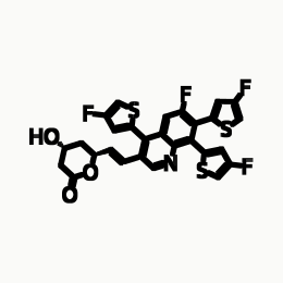 O=C1C[C@H](O)C[C@@H](C=Cc2cnc3c(-c4cc(F)cs4)c(-c4cc(F)cs4)c(F)cc3c2-c2cc(F)cs2)O1